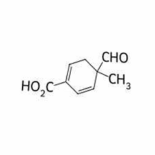 CC1(C=O)C=CC(C(=O)O)=CC1